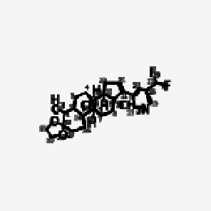 CC1C2CC[C@@H]3[C@H](CC[C@]4(C)C(c5cncc(C(F)F)c5)=CC[C@@H]34)[C@@]2(C)CCC12OCCO2